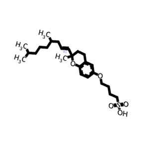 CC(C)CCCC(C)C/C=C/C1(C)CCc2cc(OCCCCS(=O)(=O)O)ccc2O1